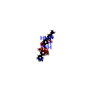 COc1cc2c(NS(=O)(=O)c3c(OC)cc(-c4cccnc4)cc3OC)noc2cc1Nc1cc(C2CC2)n[nH]1